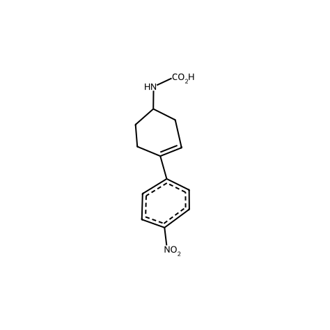 O=C(O)NC1CC=C(c2ccc([N+](=O)[O-])cc2)CC1